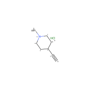 C#CC1CCN(CCC)CC1.Cl